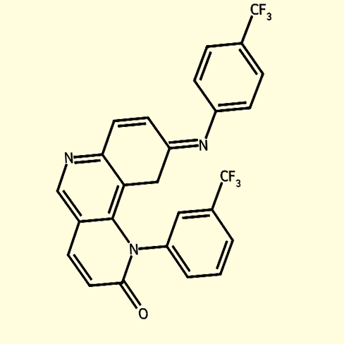 O=c1ccc2cnc3c(c2n1-c1cccc(C(F)(F)F)c1)CC(=Nc1ccc(C(F)(F)F)cc1)C=C3